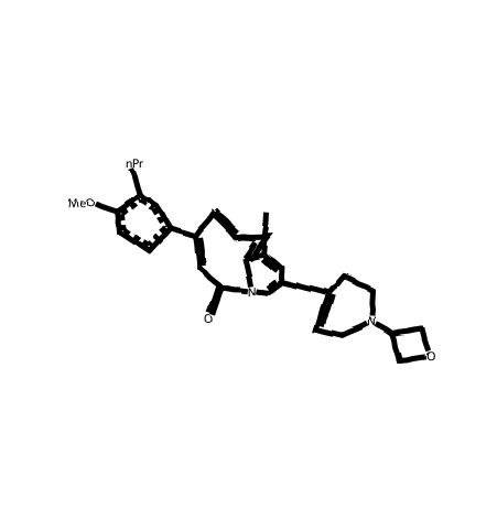 CCCc1cc(C2=C\C(=O)N3C=C(C4=CCN(C5COC5)CC4)C=C(C)\C3=C/C=C/2)ccc1OC